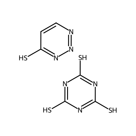 Sc1ccnnn1.Sc1nc(S)nc(S)n1